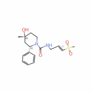 C[C@@]1(O)CCN(C(=O)NC/C=C/S(C)(=O)=O)[C@H](c2ccccc2)C1